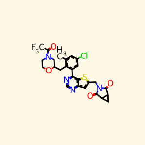 Cc1cc(Cl)cc(-c2ncnc3cc(CN4C(=O)C5CC5C4=O)sc23)c1CC1CN(C(=O)C(F)(F)F)CCO1